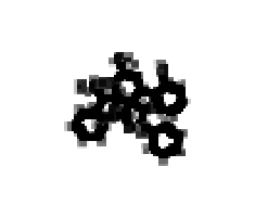 CC1=CC(c2ccccc2Cl)C(C(=O)O)(C(=O)Nc2ccccc2)C(C)(C(C)c2ccccn2)N1